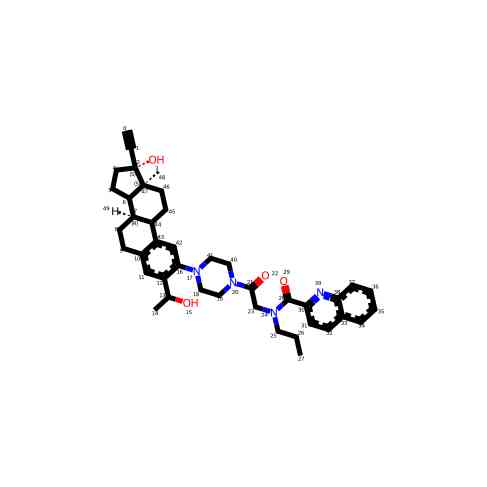 C#C[C@]1(O)CCC2[C@@H]3CCc4cc(C(C)O)c(N5CCN(C(=O)CN(CCC)C(=O)c6ccc7ccccc7n6)CC5)cc4C3CC[C@@]21C